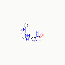 CCc1nc(-c2ccnc(NC(=O)O)c2)nn1CCN(C(C)=O)C1CCCC1